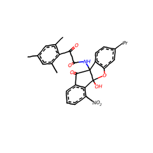 Cc1cc(C)c(C(=O)C(=O)NC23C(=O)c4cccc([N+](=O)[O-])c4C2(O)Oc2cc(C(C)C)ccc23)c(C)c1